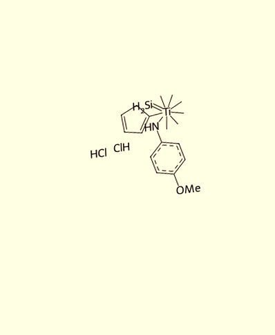 COc1ccc([NH][Ti]([CH3])([CH3])([CH3])([CH3])([CH3])([CH3])(=[SiH2])[C]2=CC=CC2)cc1.Cl.Cl